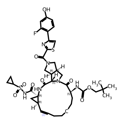 CC(C)(C)COC(=O)N[C@H]1CCCCC/C=C\[C@H]2C[C@@]2(C(=O)NS(=O)(=O)C2CC2)NC(=O)[C@@H]2[C@H]3CN(C(=O)c4nc(-c5ccc(O)cc5F)cs4)C[C@H]3CN2C1=O